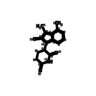 Cc1cccc2c1n(C)c(=O)n2C1CCC(=O)NC1=O